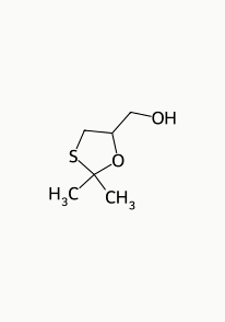 CC1(C)OC(CO)CS1